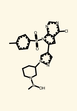 CB(O)N1CCCC(n2cc(-c3cc4c(Cl)ncnc4n3S(=O)(=O)c3ccc(C)cc3)cn2)C1